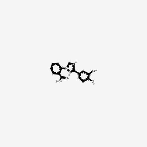 O=C(O)c1ccccc1-n1cnc(-c2ccc(Cl)c(Cl)c2)n1